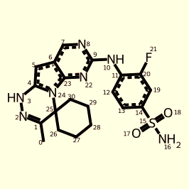 CC1=NNc2cc3cnc(Nc4ccc(S(N)(=O)=O)cc4F)nc3n2C12CCCCC2